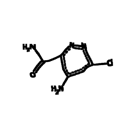 NC(=O)c1nnc(Cl)cc1N